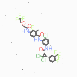 Cc1c(C(=O)Nc2cc(NC(=O)[C@H]3[C@H](c4ccc(F)c(C(F)(F)F)c4)C3(Cl)Cl)ccc2Cl)ccc(NC(=O)COCC(F)(F)F)c1F